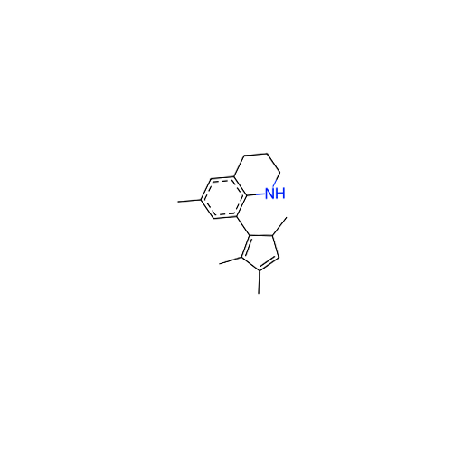 CC1=CC(C)C(c2cc(C)cc3c2NCCC3)=C1C